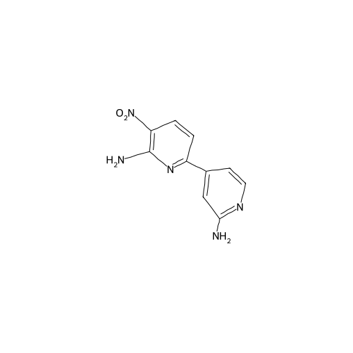 Nc1cc(-c2ccc([N+](=O)[O-])c(N)n2)ccn1